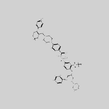 CC1(C)CCC(c2ccc(Cl)cc2)=C(CN2CCN(c3ccc(C(=O)NS(=O)(=O)c4ccc(NC(CCN5CCNCC5)CSc5ccccc5)c(S(=O)(=O)C(F)(F)F)c4)cc3)CC2)C1